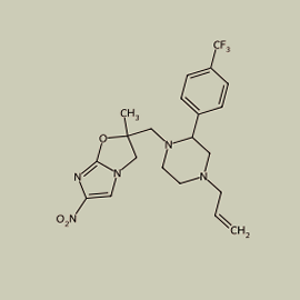 C=CCN1CCN(CC2(C)Cn3cc([N+](=O)[O-])nc3O2)C(c2ccc(C(F)(F)F)cc2)C1